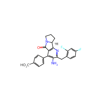 Nc1c(Cc2ccc(F)cc2F)nc2c(c1-c1ccc(C(=O)O)cc1)C(=O)N1CCC[C@@H]21